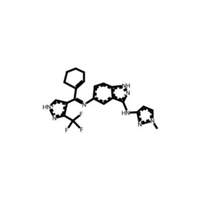 Cn1ccc(Nc2n[nH]c3ccc(/N=C(\C4=CCCCC4)c4c[nH]nc4C(F)(F)F)cc23)n1